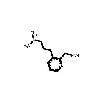 CNCc1ncccc1CCCN(C)C